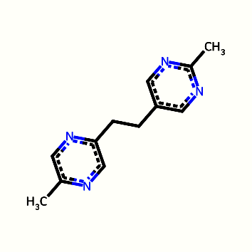 Cc1cnc(CCc2cnc(C)nc2)cn1